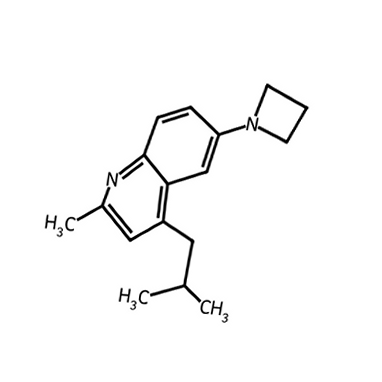 Cc1cc(CC(C)C)c2cc(N3CCC3)ccc2n1